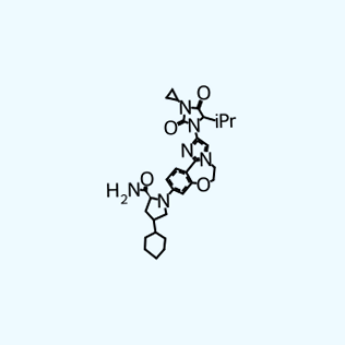 CC(C)C1C(=O)N(C2CC2)C(=O)N1c1cn2c(n1)-c1ccc(N3CC(C4CCCCC4)C[C@H]3C(N)=O)cc1OCC2